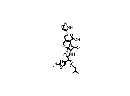 CC(C)CON=C(C(=O)NC1C(=O)N2C(C(=O)O)=C(CSc3cnn[nH]3)CS[C@@H]12)c1csc(N)n1